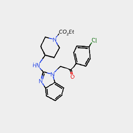 CCOC(=O)N1CCC(Nc2nc3ccccc3n2CC(=O)c2ccc(Cl)cc2)CC1